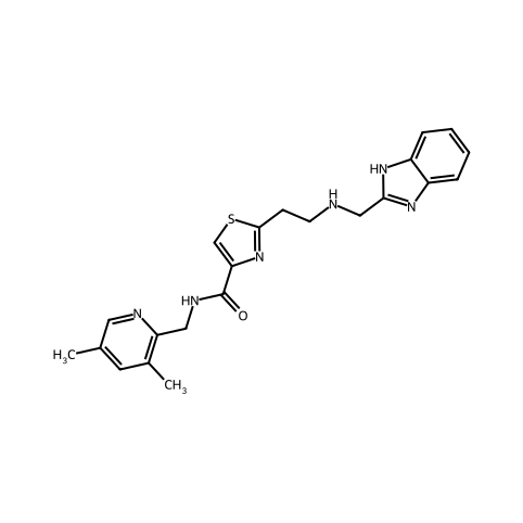 Cc1cnc(CNC(=O)c2csc(CCNCc3nc4ccccc4[nH]3)n2)c(C)c1